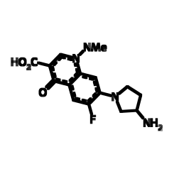 CNn1cc(C(=O)O)c(=O)c2cc(F)c(N3CCC(N)C3)cc21